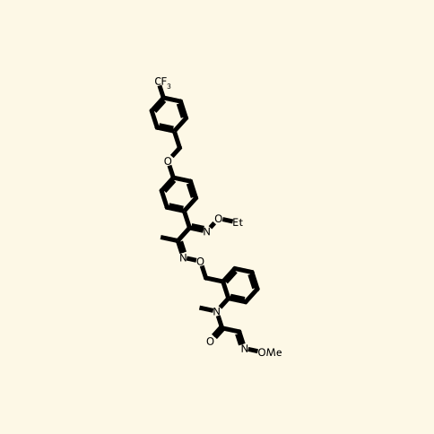 CCON=C(C(C)=NOCc1ccccc1N(C)C(=O)C=NOC)c1ccc(OCc2ccc(C(F)(F)F)cc2)cc1